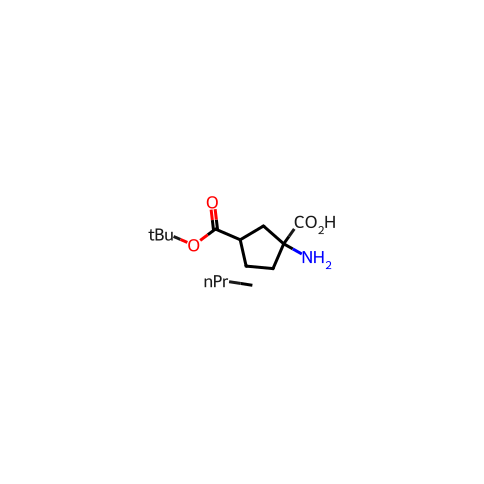 CC(C)(C)OC(=O)C1CCC(N)(C(=O)O)C1.CCCC